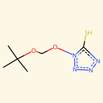 CC(C)(C)OCOn1nnnc1S